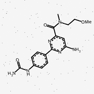 COCCN(C)C(=O)c1cc(N)nc(-c2ccc(NC(N)=O)cc2)n1